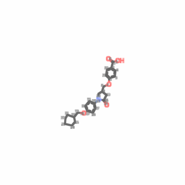 O=C(O)c1ccc(OCC2CC(=O)N(c3ccc(OCC4CCCCC4)cc3)C2)cc1